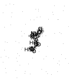 Cn1nc(C2CCC(O)(CS(=O)(=O)CCCN3CCNCC3=O)C2)c(C(=O)Nc2ccc(F)c(Cl)c2)c1N